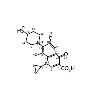 O=C(O)c1cn(C2CC2)c2c(F)c(N3CCC(S)CC3)c(F)cc2c1=O